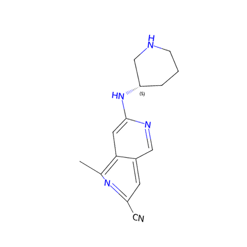 Cc1nc(C#N)cc2cnc(N[C@H]3CCCNC3)cc12